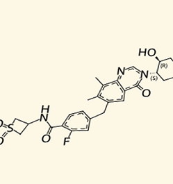 Cc1c(Cc2ccc(C(=O)NC3CS(=O)(=O)C3)c(F)c2)cc2c(=O)n([C@H]3CCOC[C@@H]3O)cnc2c1C